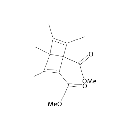 COC(=O)C1=C(C)C2(C)C(C)=C(C)C12C(=O)OC